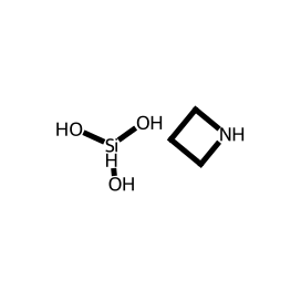 C1CNC1.O[SiH](O)O